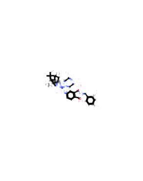 C[C@@H]1[C@@H](/N=C(/Nc2ccc3c(c2)C(=O)N(Cc2ccc(Cl)cc2Cl)C3=O)N2CCN[C@@H](C)C2)C[C@H]2C[C@@H]1C2(C)C